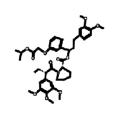 CC[C@H](C(=O)N1CCCC[C@H]1C(=O)O[C@H](CCc1ccc(OC)c(OC)c1)c1cccc(OCC(=O)OC(C)C)c1)c1cc(OC)c(OC)c(OC)c1